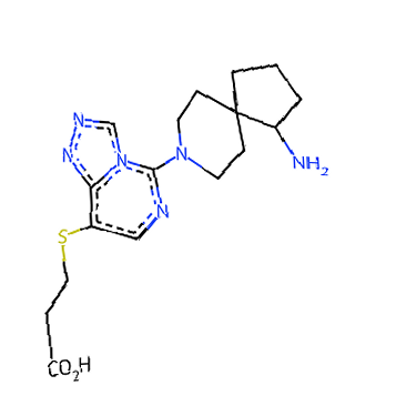 NC1CCCC12CCN(c1ncc(SCCC(=O)O)c3nncn13)CC2